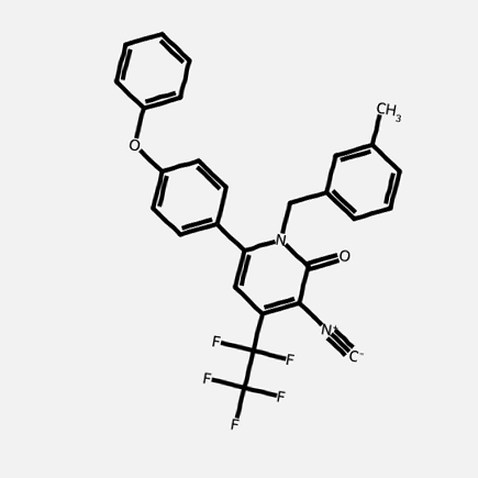 [C-]#[N+]c1c(C(F)(F)C(F)(F)F)cc(-c2ccc(Oc3ccccc3)cc2)n(Cc2cccc(C)c2)c1=O